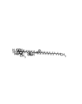 CCCCCCCCCCCCCCCCCC(=O)OCCSCCC(CCCCCc1cc(C)c(O)c(C(C)(C)C)c1)C(=O)O